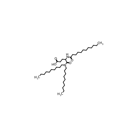 CCCCCCCCCCCC(=O)NC(CCC(=O)O)C(=O)N(CCCCCCCCCC)CCCCCCCCCC